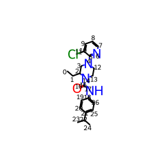 CCC1CN(c2ncccc2Cl)CCN1C(=O)Nc1ccc(C(C)C)cc1